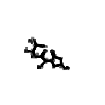 CCC[C@@H]1CC(=O)N([C@@H](CC)C(=O)N[C@@H](CC)C(N)=O)C1